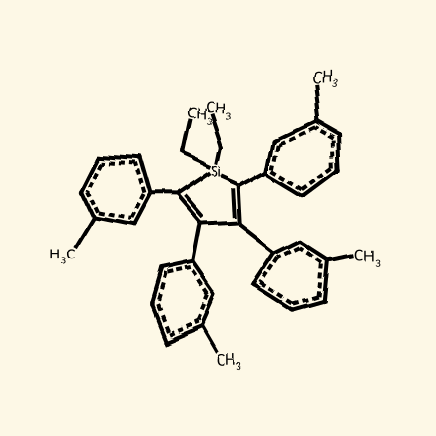 CC[Si]1(CC)C(c2cccc(C)c2)=C(c2cccc(C)c2)C(c2cccc(C)c2)=C1c1cccc(C)c1